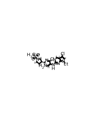 CCn1cc(Cl)c2cnc(NC(=C/N)/C(Cl)=N\C[C@H]3CCN(S(C)(=O)=O)C3)nc21